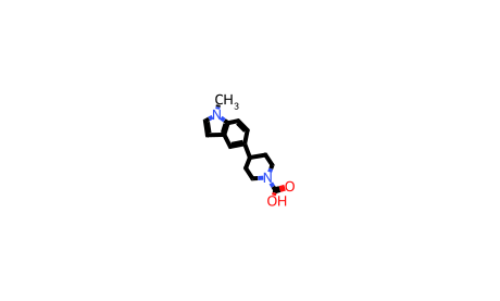 Cn1ccc2cc(C3CCN(C(=O)O)CC3)ccc21